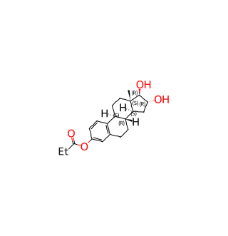 CCC(=O)Oc1ccc2c(c1)CC[C@@H]1[C@@H]2CC[C@]2(C)[C@@H](O)[C@H](O)C[C@@H]12